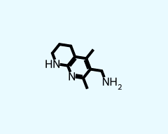 Cc1nc2c(c(C)c1CN)CCCN2